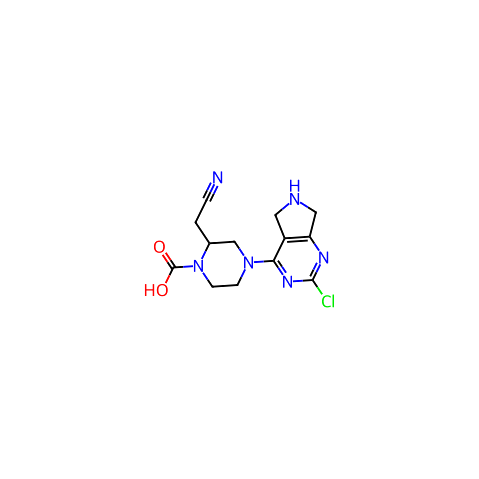 N#CCC1CN(c2nc(Cl)nc3c2CNC3)CCN1C(=O)O